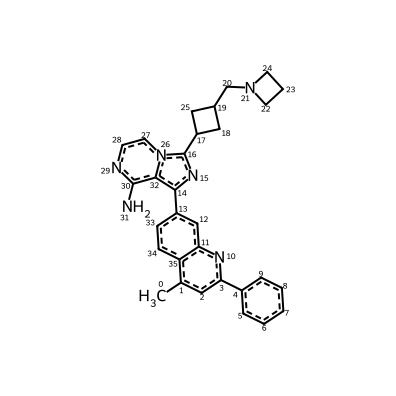 Cc1cc(-c2ccccc2)nc2cc(-c3nc(C4CC(CN5CCC5)C4)n4ccnc(N)c34)ccc12